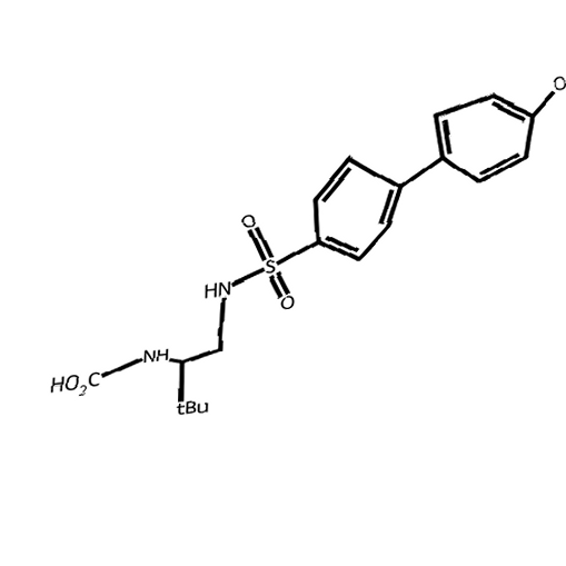 CC(C)(C)C(CNS(=O)(=O)c1ccc(-c2ccc(O)cc2)cc1)NC(=O)O